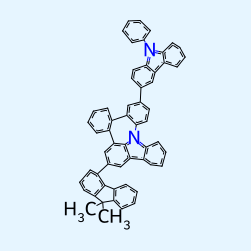 CC1(C)c2ccccc2-c2c(-c3cc4c5c(c3)c3ccccc3n5-c3ccc(-c5ccc6c(c5)c5ccccc5n6-c5ccccc5)cc3-c3ccccc3-4)cccc21